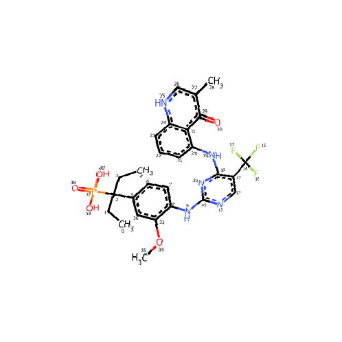 CCC(CC)(c1ccc(Nc2ncc(C(F)(F)F)c(Nc3cccc4[nH]cc(C)c(=O)c34)n2)c(OC)c1)P(=O)(O)O